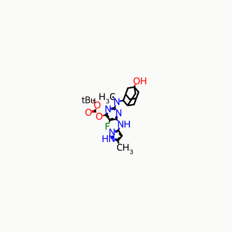 Cc1cc(Nc2nc(N(C)C3C4CC5CC3CC(O)(C5)C4)nc(OC(=O)OC(C)(C)C)c2F)n[nH]1